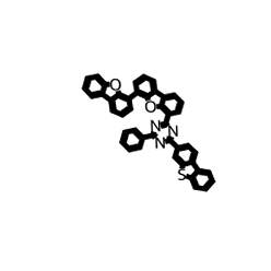 c1ccc(-c2nc(-c3ccc4c(c3)sc3ccccc34)nc(-c3cccc4c3oc3c(-c5cccc6c5oc5ccccc56)cccc34)n2)cc1